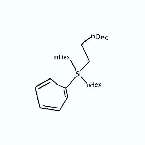 CCCCCCCCCCCC[Si](CCCCCC)(CCCCCC)c1ccccc1